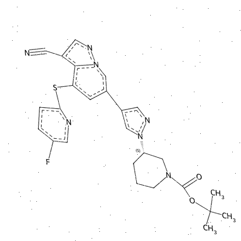 CC(C)(C)OC(=O)N1CCC[C@H](n2cc(-c3cc(Sc4ccc(F)cn4)c4c(C#N)cnn4c3)cn2)C1